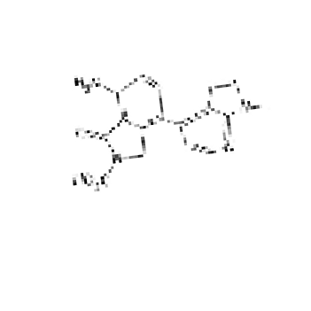 Cn1ccc2c(-c3ccc(N)c4c3CN(C(=O)O)C4=O)ccnc21